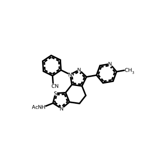 CC(=O)Nc1nc2c(s1)-c1c(c(-c3ccc(C)nc3)nn1-c1ccccc1C#N)CC2